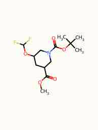 COC(=O)C1CC(OC(F)F)CN(C(=O)OC(C)(C)C)C1